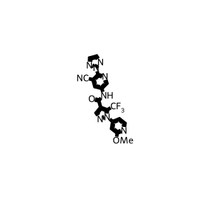 COc1cc(-n2ncc(C(=O)Nc3cnc(-n4nccn4)c(C#N)c3)c2C(F)(F)F)ccn1